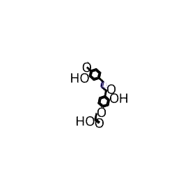 COc1ccc(/C=C/C(=O)c2ccc(OCC(=O)O)cc2O)cc1O